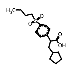 CCCCS(=O)(=O)c1ccc(C(CC2CCCC2)C(=O)O)cc1